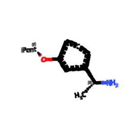 CCC[C@@H](C)Oc1cccc([C@@H](C)N)c1